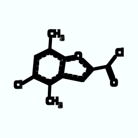 Cc1c(Cl)cc(C)c2oc(C(=O)Cl)cc12